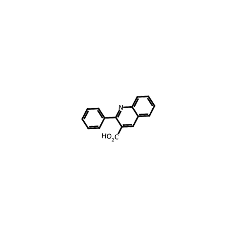 O=C(O)c1cc2ccccc2nc1-c1ccccc1